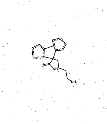 NCCCCC1(C(N)=O)c2ccccc2-c2ccccc21